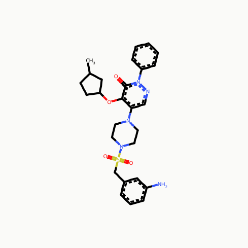 CC1CCC(Oc2c(N3CCN(S(=O)(=O)Cc4cccc(N)c4)CC3)cnn(-c3ccccc3)c2=O)C1